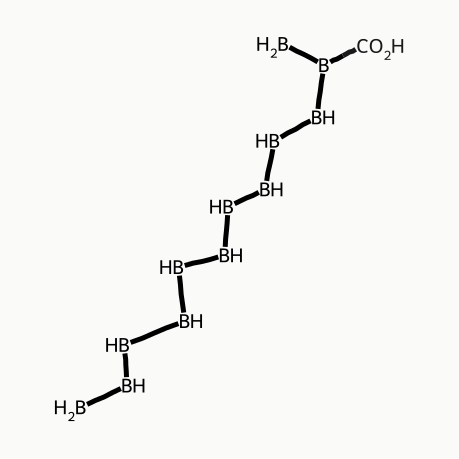 BBBBBBBBBBB(B)C(=O)O